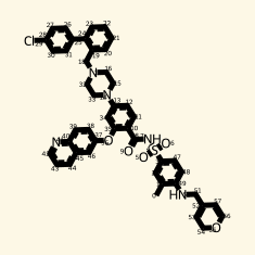 Cc1cc(S(=O)(=O)NC(=O)c2ccc(N3CCN(Cc4ccccc4-c4ccc(Cl)cc4)CC3)cc2Oc2ccc3ncccc3c2)ccc1NCC1=CCOC=C1